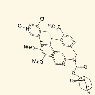 COc1ccc([C@H](Cc2c(Cl)c[n+]([O-])cc2Cl)c2cc(CN(C(=O)O[C@H]3CN4CCC3CC4)c3ccccn3)ccc2C(=O)O)cc1OC